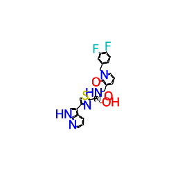 O=C(N[C@H](CO)c1nc(-c2c[nH]c3ncccc23)cs1)c1cccn(Cc2ccc(F)c(F)c2)c1=O